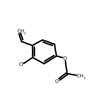 C=Cc1ccc(OC(C)=O)cc1Cl